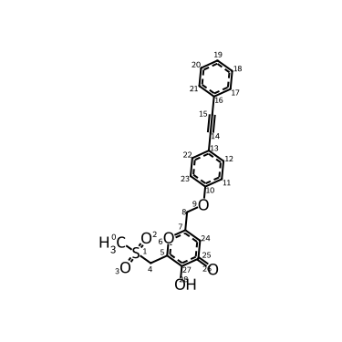 CS(=O)(=O)Cc1oc(COc2ccc(C#Cc3ccccc3)cc2)cc(=O)c1O